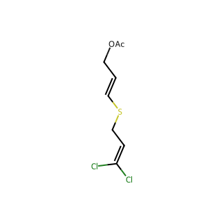 CC(=O)OC/C=C/SCC=C(Cl)Cl